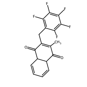 CC1=C(Cc2c(F)c(F)c(F)c(F)c2F)C(=O)C2C=CC=CC2C1=O